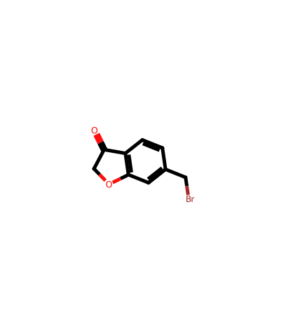 O=C1COc2cc(CBr)ccc21